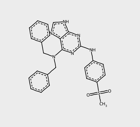 CS(=O)(=O)c1ccc(Nc2nc(N(Cc3ccccc3)Cc3ccccc3)c3nc[nH]c3n2)cc1